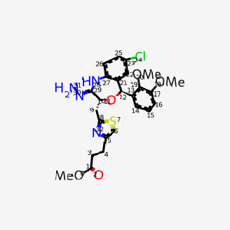 COC(=O)CCc1csc(C[C@H]2O[C@H](c3cccc(OC)c3OC)c3cc(Cl)ccc3NC2=NN)n1